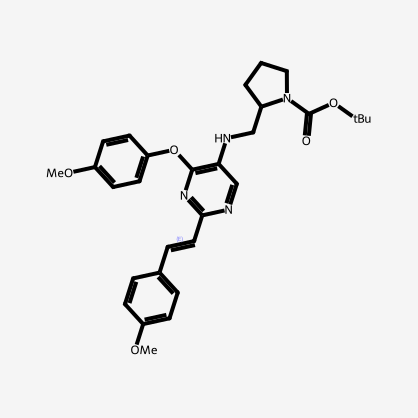 COc1ccc(/C=C/c2ncc(NCC3CCCN3C(=O)OC(C)(C)C)c(Oc3ccc(OC)cc3)n2)cc1